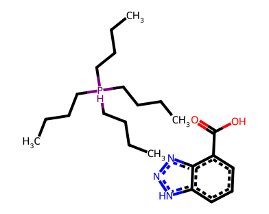 CCCC[PH](CCCC)(CCCC)CCCC.O=C(O)c1cccc2[nH]nnc12